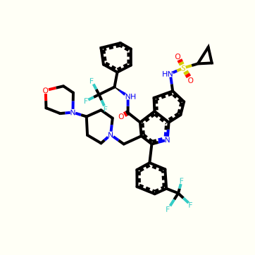 O=C(N[C@H](c1ccccc1)C(F)(F)F)c1c(CN2CCC(N3CCOCC3)CC2)c(-c2cccc(C(F)(F)F)c2)nc2ccc(NS(=O)(=O)C3CC3)cc12